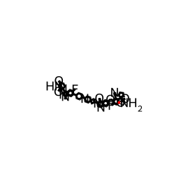 Cn1nc(N2CCC(=O)NC2=O)c2cc(F)c(C3CCC(N4CCC5(CC4)CC(n4cnc6ccc(Oc7c(F)ccc(C8(S(N)(=O)=O)CCCC8)c7C#N)cc6c4=O)C5)CC3)cc21